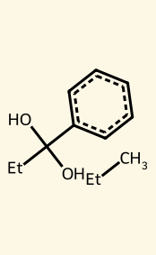 CCC.CCC(O)(O)c1ccccc1